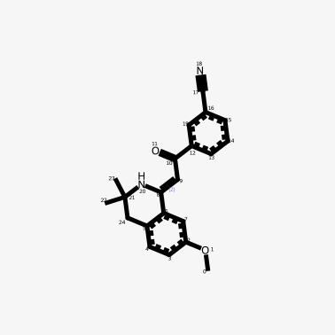 COc1ccc2c(c1)/C(=C/C(=O)c1cccc(C#N)c1)NC(C)(C)C2